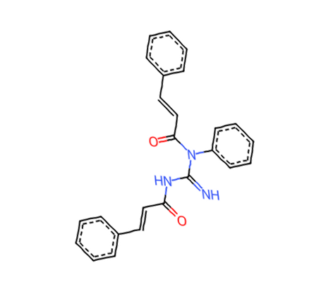 N=C(NC(=O)C=Cc1ccccc1)N(C(=O)C=Cc1ccccc1)c1ccccc1